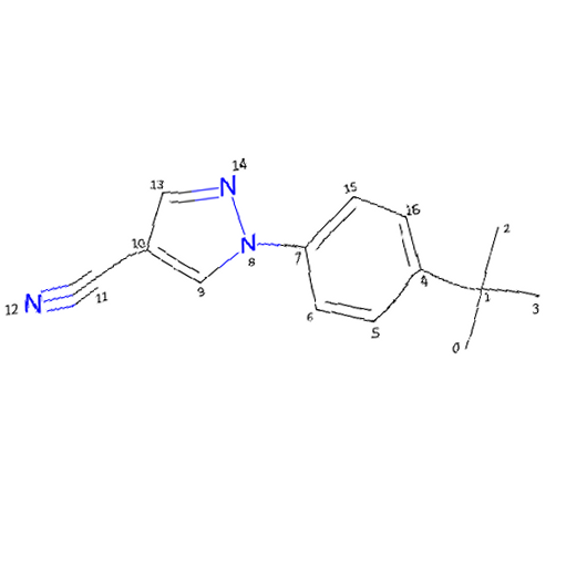 CC(C)(C)c1ccc(-n2cc(C#N)cn2)cc1